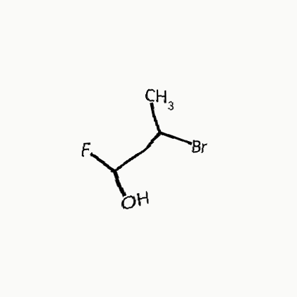 CC(Br)C(O)F